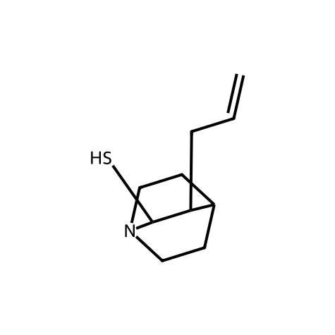 C=CCC1C2CCN(CC2)C1S